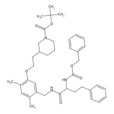 Cc1cc(C)c(OCCC2CCCN(C(=O)OC(C)(C)C)C2)cc1CNC(=O)C(CCc1ccccc1)NC(=O)OCc1ccccc1